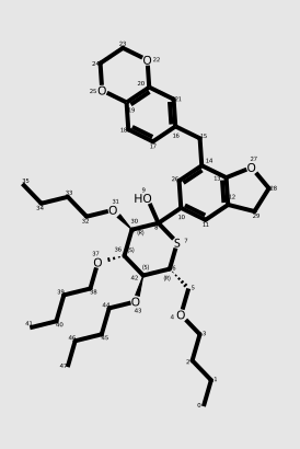 CCCCOC[C@H]1SC(O)(c2cc3c(c(Cc4ccc5c(c4)OCCO5)c2)OCC3)[C@H](OCCCC)[C@@H](OCCCC)[C@@H]1OCCCC